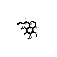 C=CC[C@H](C)[C@H]1CC[C@H](C)c2c(OC)c(OC)c(C)c(OC)c21